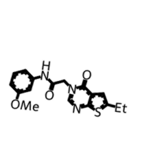 CCc1cc2c(=O)n(CC(=O)Nc3cccc(OC)c3)cnc2s1